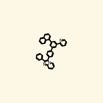 c1ccc(-c2nc3ccccn3c2-c2ccc(-c3cc(-c4ccccn4)cc(-c4cccc5ccccc45)c3)cc2)cc1